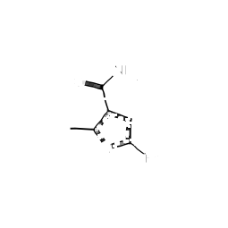 Cc1sc(Br)cc1C(N)=O